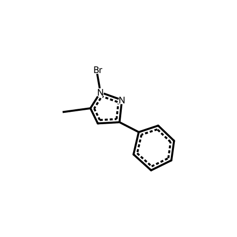 Cc1cc(-c2ccccc2)nn1Br